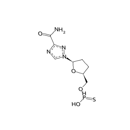 NC(=O)c1ncn([C@H]2CC[C@@H](CO[PH](O)=S)O2)n1